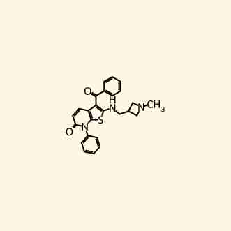 CN1CC(CNc2sc3c(ccc(=O)n3-c3ccccc3)c2C(=O)c2ccccc2)C1